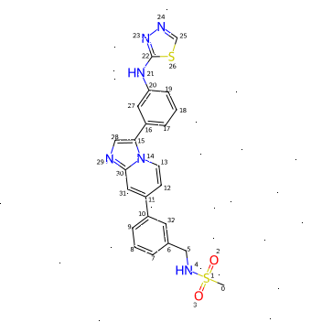 CS(=O)(=O)NCc1cccc(-c2ccn3c(-c4cccc(Nc5nncs5)c4)cnc3c2)c1